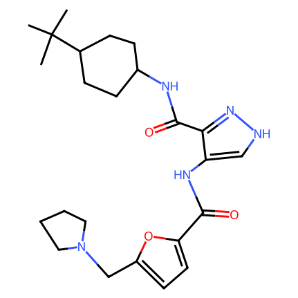 CC(C)(C)C1CCC(NC(=O)c2n[nH]cc2NC(=O)c2ccc(CN3CCCC3)o2)CC1